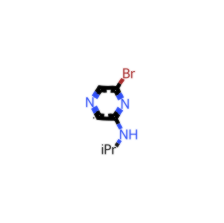 CC(C)Nc1[c]ncc(Br)n1